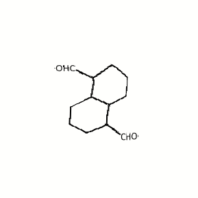 O=[C]C1CCCC2C([C]=O)CCCC12